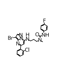 CN(CCCNc1cc(-c2ccccc2Cl)nc2c(Br)cnn12)C(=O)Nc1ccc(F)cc1